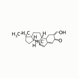 CC[C@H]1CC[C@H]2[C@@H]3C=CC4=CC(=O)C(=CO)C[C@]4(C)[C@H]3CC[C@]12C